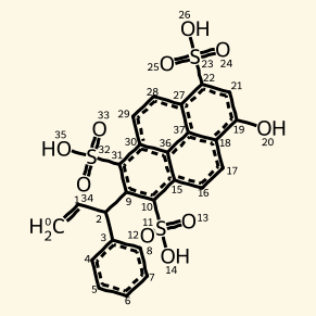 C=CC(c1ccccc1)c1c(S(=O)(=O)O)c2ccc3c(O)cc(S(=O)(=O)O)c4ccc(c1S(=O)(=O)O)c2c34